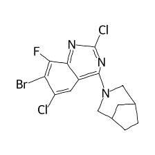 Fc1c(Br)c(Cl)cc2c(N3CC4CCC(C4)C3)nc(Cl)nc12